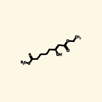 CCOC(=O)C[C@@H](O)CCCCC(=O)OC